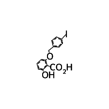 O=C(O)c1c(O)cccc1OCc1ccc(I)cc1